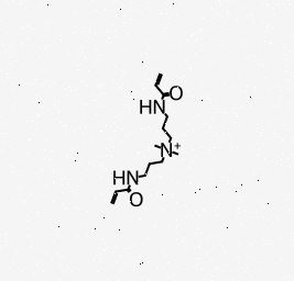 C=CC(=O)NCCC[N+](C)(C)CCCNC(=O)C=C